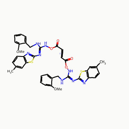 COc1ccccc1CNC(=Nc1nc2ccc(C)cc2s1)NOC(=O)/C=C/C(=O)ONC(=Nc1nc2ccc(C)cc2s1)NCc1ccccc1OC